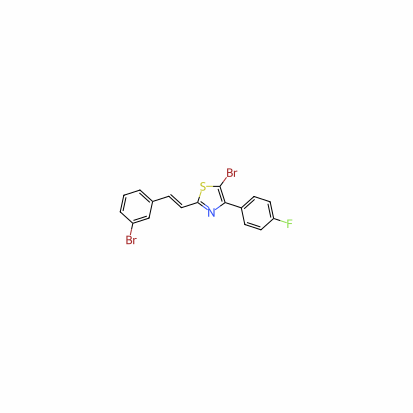 Fc1ccc(-c2nc(C=Cc3cccc(Br)c3)sc2Br)cc1